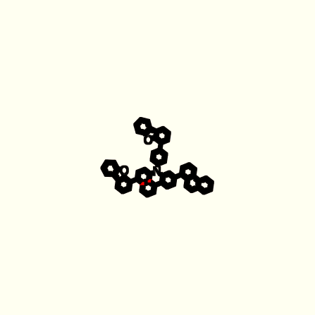 c1ccc(-c2ccc(-c3cccc4c3ccc3ccccc34)cc2N(c2ccc(-c3cccc4c3oc3ccccc34)cc2)c2ccc(-c3cccc4c3oc3ccccc34)cc2)cc1